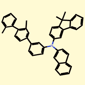 Cc1ccccc1-c1ccc(-c2cccc(N(c3ccc4c(c3)-c3ccccc3C4(C)C)c3ccc4ccccc4c3)c2)cc1C